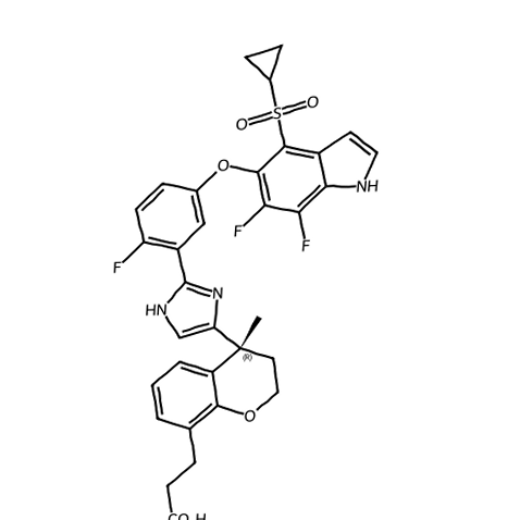 C[C@@]1(c2c[nH]c(-c3cc(Oc4c(F)c(F)c5[nH]ccc5c4S(=O)(=O)C4CC4)ccc3F)n2)CCOc2c(CCC(=O)O)cccc21